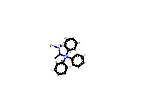 CCN(CC)C(C)[N+](c1ccccc1)(c1ccccc1)c1ccccc1